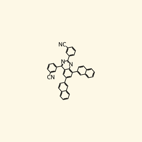 N#Cc1cccc(-c2nc(-c3cccc(C#N)c3)c3cc(-c4ccc5ccccc5c4)cc(-c4ccc5ccccc5c4)c3n2)c1